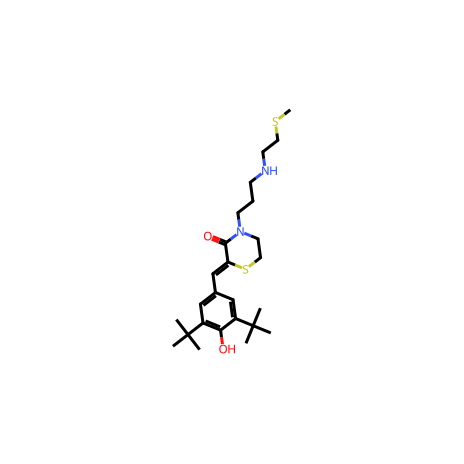 CSCCNCCCN1CCSC(=Cc2cc(C(C)(C)C)c(O)c(C(C)(C)C)c2)C1=O